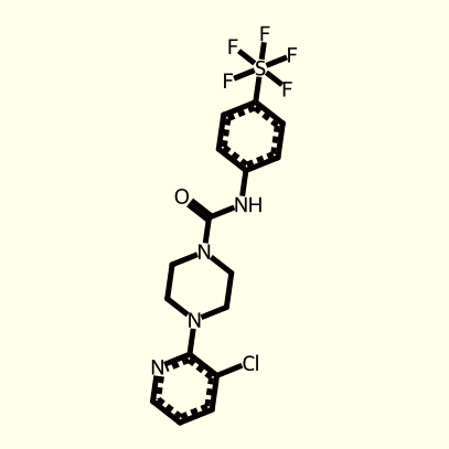 O=C(Nc1ccc(S(F)(F)(F)(F)F)cc1)N1CCN(c2ncccc2Cl)CC1